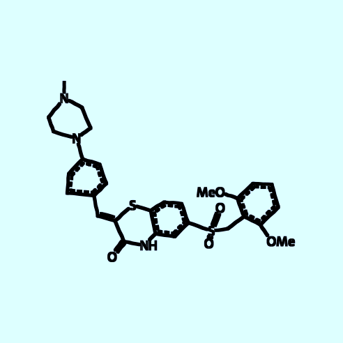 COc1cccc(OC)c1CS(=O)(=O)c1ccc2c(c1)NC(=O)C(=Cc1ccc(N3CCN(C)CC3)cc1)S2